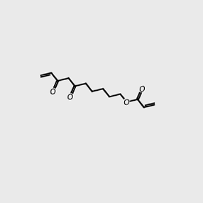 C=CC(=O)CC(=O)CCCCCOC(=O)C=C